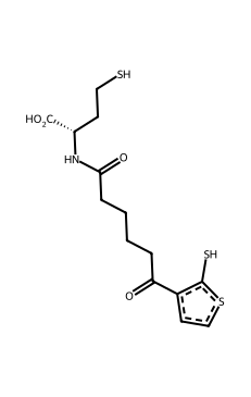 O=C(CCCCC(=O)c1ccsc1S)N[C@@H](CCS)C(=O)O